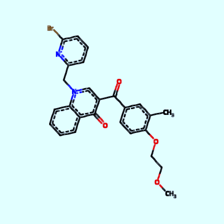 COCCOc1ccc(C(=O)c2cn(Cc3cccc(Br)n3)c3ccccc3c2=O)cc1C